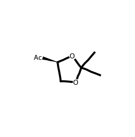 CC(=O)[C@@H]1COC(C)(C)O1